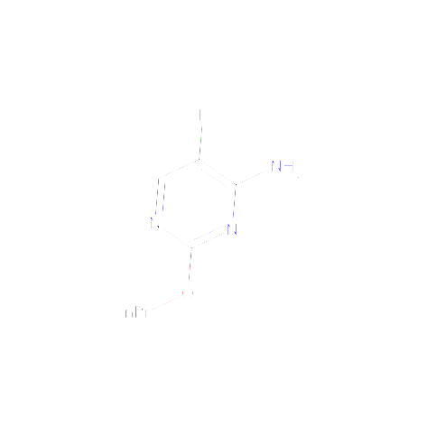 CCCOc1ncc(F)c(N)n1